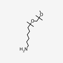 COC(C)(C)COC(C)(C)CCCCCCN